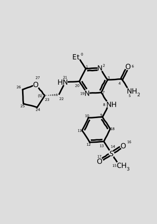 CCc1nc(C(N)=O)c(Nc2cccc(S(C)(=O)=O)c2)nc1NC[C@@H]1CCCO1